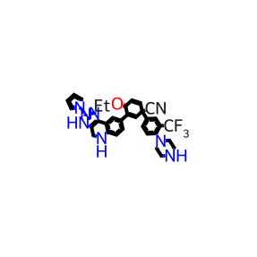 CCN1C2=C(CNc3ccc(C4=CC(C#N)(c5ccc(N6CCNCC6)c(C(F)(F)F)c5)C=CC4=O)cc32)NN1n1cccc1